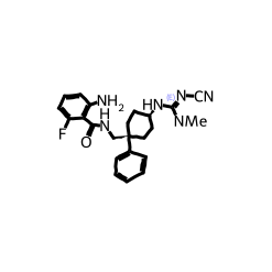 CN/C(=N\C#N)N[C@H]1CC[C@](CNC(=O)c2c(N)cccc2F)(c2ccccc2)CC1